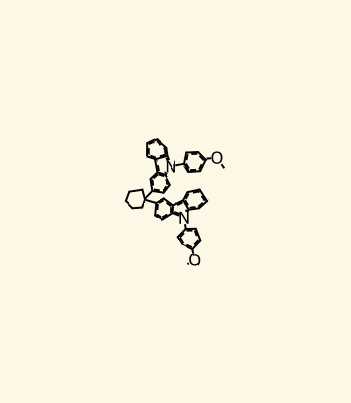 COc1ccc(-n2c3ccccc3c3cc(C4(c5ccc6c(c5)c5ccccc5n6-c5ccc(OC)cc5)CCCCC4)ccc32)cc1